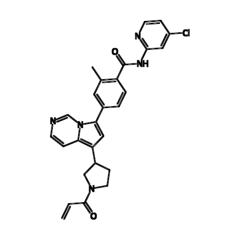 C=CC(=O)N1CCC(c2cc(-c3ccc(C(=O)Nc4cc(Cl)ccn4)c(C)c3)n3cnccc23)C1